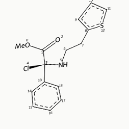 COC(=O)[C@](Cl)(NCCc1cccs1)c1ccccc1